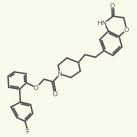 O=C1COc2ccc(CCC3CCN(C(=O)COc4ccccc4-c4ccc(F)cc4)CC3)cc2N1